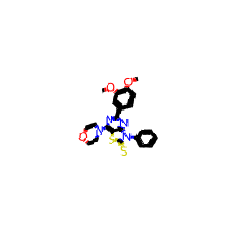 COc1ccc(-c2nc(N3CCOCC3)c3sc(=S)n(-c4ccccc4)c3n2)cc1OC